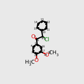 COc1ccc(C(=O)C(Cl)c2ccccc2)cc1OC